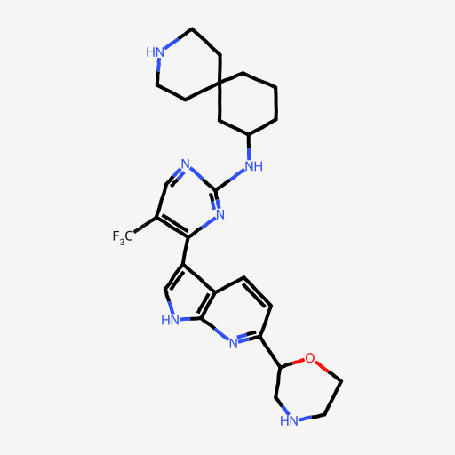 FC(F)(F)c1cnc(NC2CCCC3(CCNCC3)C2)nc1-c1c[nH]c2nc(C3CNCCO3)ccc12